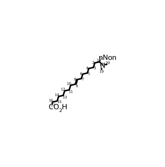 CCCCCCCCCC(CCCCCCC=CCCCCCCCC(=O)O)N(C)C